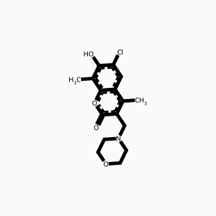 Cc1c(CN2CCOCC2)c(=O)oc2c(C)c(O)c(Cl)cc12